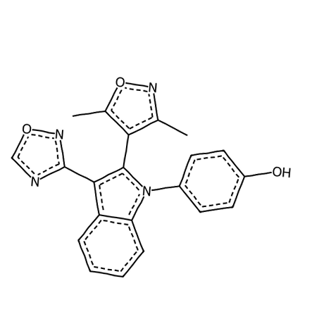 Cc1noc(C)c1-c1c(-c2ncon2)c2ccccc2n1-c1ccc(O)cc1